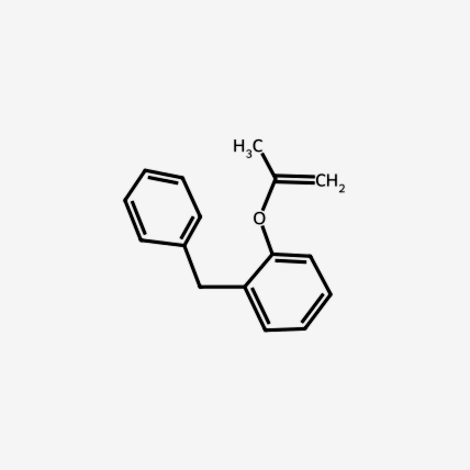 C=C(C)Oc1ccccc1Cc1ccccc1